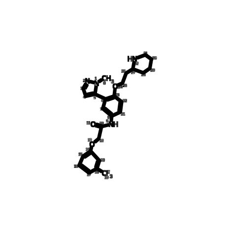 Cn1nccc1-c1cc(NC(=O)COc2cccc(C(F)(F)F)c2)ccc1OCCC1CCCCN1